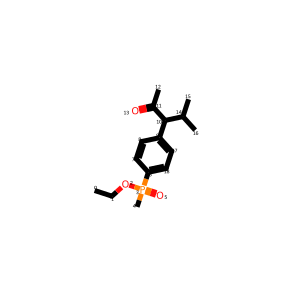 CCOP(C)(=O)c1ccc(C(C(C)=O)C(C)C)cc1